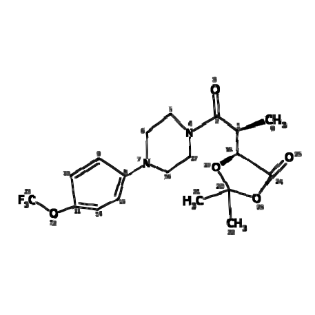 C[C@H](C(=O)N1CCN(c2ccc(OC(F)(F)F)cc2)CC1)[C@@H]1OC(C)(C)OC1=O